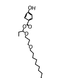 CCCCCCCCCCOCCCOC(CC)OC(=O)c1ccc(O)cc1